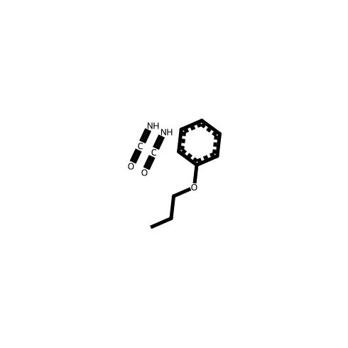 CCCOc1ccccc1.N=C=O.N=C=O